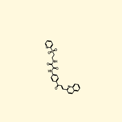 O=C(NCCS(=O)(=O)c1ccccn1)C(=O)Nc1ccc(C(=O)C=Cc2ccc3ccccc3n2)cc1